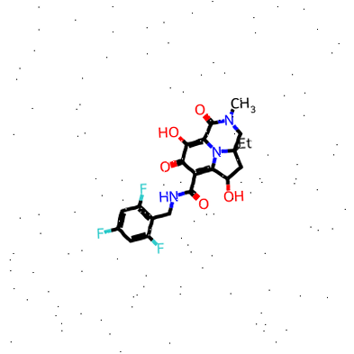 CCC12CC(O)c3c(C(=O)NCc4c(F)cc(F)cc4F)c(=O)c(O)c(n31)C(=O)N(C)C2